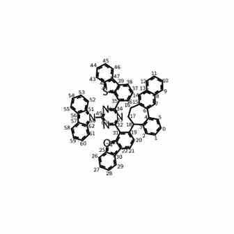 c1ccc2c(c1)-c1cc3ccccc3cc1CCC2c1ccc2c(oc3ccccc32)c1-c1nc(-c2cccc3c2sc2ccccc23)nc(-n2c3ccccc3c3ccccc32)n1